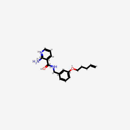 C=CCCCOc1cccc(CNC(=O)c2cccnc2N)c1